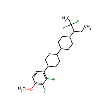 CCC(C1CCC(C2CCC(c3ccc(OC)c(F)c3F)CC2)CC1)C(C)(F)F